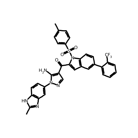 Cc1ccc(S(=O)(=O)n2c(C(=O)c3cnn(-c4ccc5[nH]c(C)nc5c4)c3N)cc3cc(-c4ccccc4C(F)(F)F)ccc32)cc1